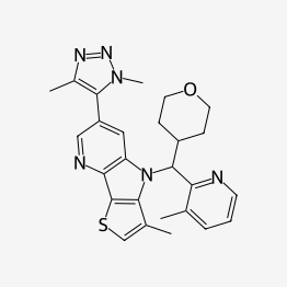 Cc1cccnc1C(C1CCOCC1)n1c2cc(-c3c(C)nnn3C)cnc2c2scc(C)c21